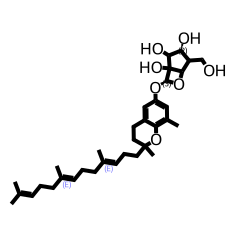 CC(C)=CCC/C(C)=C/CC/C(C)=C/CCC1(C)CCc2cc(O[C@@H]3OC4C(CO)[C@@H](O)C(O)C43O)cc(C)c2O1